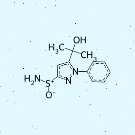 CC(C)(O)c1cc([S+](N)[O-])nn1-c1ccccc1